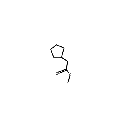 COC(=O)CC1CCCC1